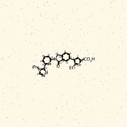 CCc1sc(C(=O)O)cc1-c1ccc2c(c1)C(=O)N(c1cccc(-c3nncn3C(C)C)n1)C2